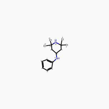 CCC1(CC)CC(Nc2ccccc2)CC(CC)(CC)N1